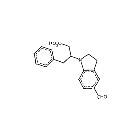 O=Cc1ccc2c(c1)CCN2C(CC(=O)O)Cc1ccccc1